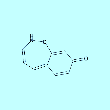 O=C1C=CC2=CC=CNOC2=C1